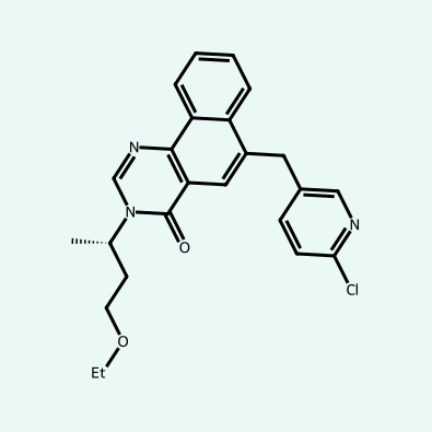 CCOCC[C@H](C)n1cnc2c(cc(Cc3ccc(Cl)nc3)c3ccccc32)c1=O